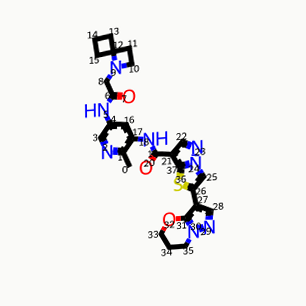 Cc1ncc(NC(=O)CN2CCC23CCC3)cc1NC(=O)c1cnn2cc(-c3cnn4c3OCCC4)sc12